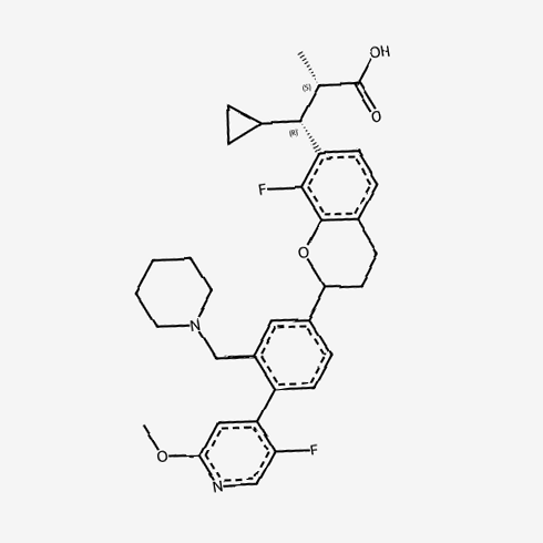 COc1cc(-c2ccc(C3CCc4ccc([C@H](C5CC5)[C@H](C)C(=O)O)c(F)c4O3)cc2CN2CCCCC2)c(F)cn1